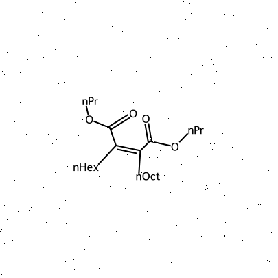 CCCCCCCC/C(C(=O)OCCC)=C(\CCCCCC)C(=O)OCCC